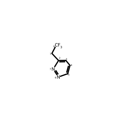 FC(F)(F)Cc1cc[c]nn1